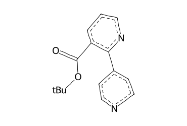 CC(C)(C)OC(=O)c1cccnc1-c1ccncc1